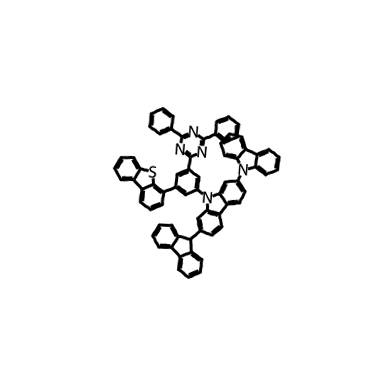 c1ccc(-c2nc(-c3ccccc3)nc(-c3cc(-c4cccc5c4sc4ccccc45)cc(-n4c5cc(C6c7ccccc7-c7ccccc76)ccc5c5ccc(-n6c7ccccc7c7ccccc76)cc54)c3)n2)cc1